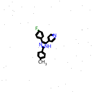 Cc1ccc(-c2nc(-c3ccc(F)cc3)c(-c3ccncc3)[nH]2)cc1